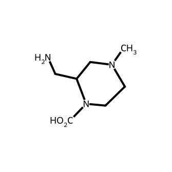 CN1CCN(C(=O)O)C(CN)C1